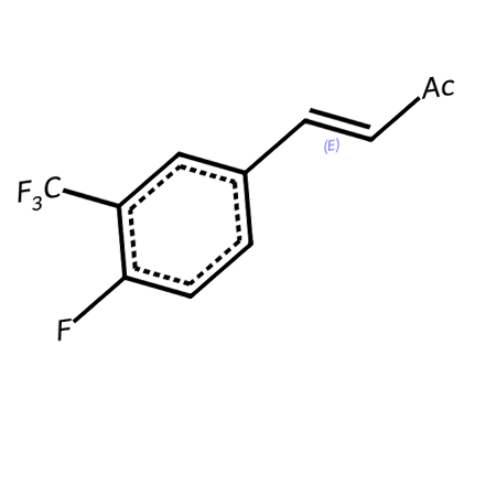 CC(=O)/C=C/c1ccc(F)c(C(F)(F)F)c1